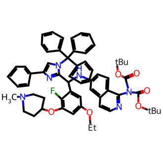 CCOc1cc(OC2CCN(C)CC2)c(F)c(C(Nc2ccc3c(N(C(=O)OC(C)(C)C)C(=O)OC(C)(C)C)nccc3c2)c2nc(-c3ccccc3)cn2C(c2ccccc2)(c2ccccc2)c2ccccc2)c1